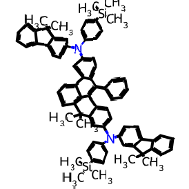 CC1(C)c2ccccc2-c2ccc(N(c3ccc([Si](C)(C)C)cc3)c3ccc4c(c3)C(C)(C)c3cccc5c3c-4c(-c3ccccc3)c3ccc(N(c4ccc([Si](C)(C)C)cc4)c4ccc6c(c4)C(C)(C)c4ccccc4-6)cc35)cc21